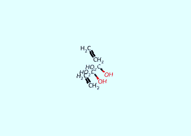 C=C.C=C.O=C(O)O.O=C(O)O